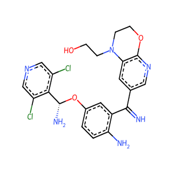 N=C(c1cnc2c(c1)N(CCO)CCO2)c1cc(O[C@H](N)c2c(Cl)cncc2Cl)ccc1N